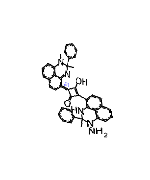 CN1c2cccc3cc/c(=C4\C(=O)C(c5ccc6cccc7c6c5NC(C)(c5ccccc5)N7N)=C4O)c(c23)=NC1(C)c1ccccc1